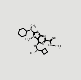 C[C@@H](Nc1nc(C(=N)NC(=O)O)nc2nc(N(C)C3CCCCC3)n(C)c12)C1CCC1